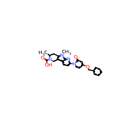 CC1Cc2c(c3ccc(-n4ccc(OCc5ccccc5)cc4=O)nc3n2C)CN1C(=O)O